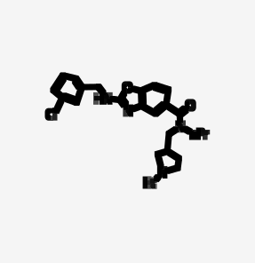 CCCN(CC1CCN(CC)C1)C(=O)c1ccc2oc(NCc3cccc(Cl)c3)nc2c1